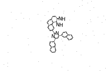 N=C1C=Cc2ccc3ccc(-c4nc(-c5ccc6ccccc6c5)cc(-c5ccc6ccccc6c5)n4)cc3c2C1=N